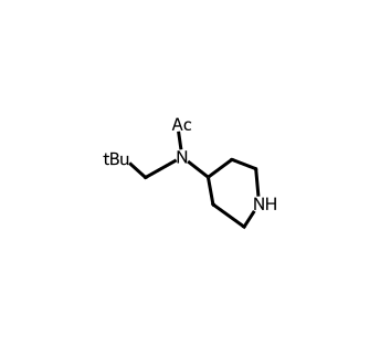 CC(=O)N(CC(C)(C)C)C1CCNCC1